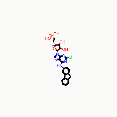 O=P(O)(O)CC[C@H]1O[C@@H](n2cnc3c(Nc4ccc5c(c4)-c4ccccc4C5)nc(Cl)nc32)C(O)C1O